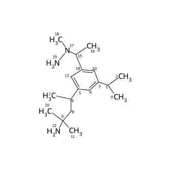 CC(C)c1cc(C(C)CC(C)(C)N)cc(C(C)N(C)N)c1